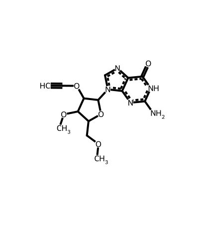 C#COC1C(OC)C(COC)OC1n1cnc2c(=O)[nH]c(N)nc21